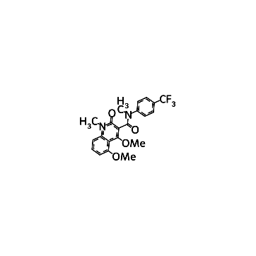 COc1cccc2c1c(OC)c(C(=O)N(C)c1ccc(C(F)(F)F)cc1)c(=O)n2C